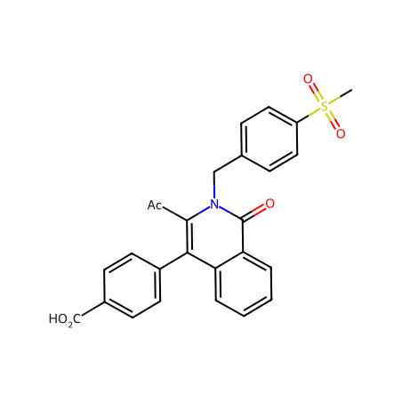 CC(=O)c1c(-c2ccc(C(=O)O)cc2)c2ccccc2c(=O)n1Cc1ccc(S(C)(=O)=O)cc1